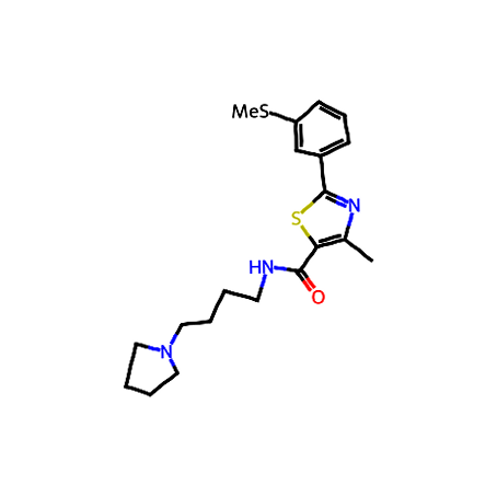 CSc1cccc(-c2nc(C)c(C(=O)NCCCCN3CCCC3)s2)c1